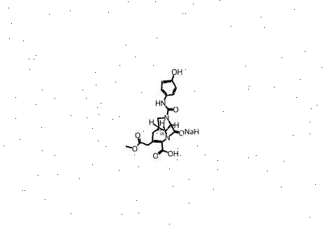 COC(=O)CC1=C(C(=O)O)N2C(=O)[C@@H]3[C@H]2[C@H](C1)CN3C(=O)Nc1ccc(O)cc1.[NaH]